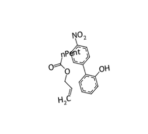 C=CCOC(=O)CCCCC.O=[N+]([O-])c1ccc(-c2ccccc2O)cc1